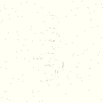 O=C(NC1CCOCC1)Oc1cc(F)cc2c1cc(I)n2CC(F)(F)F